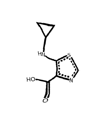 O=C(O)c1n[c]sc1NC1CC1